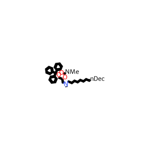 CCCCCCCCCCCCCCCCCCN(C)CC(COC(c1ccccc1)(c1ccccc1)c1ccccc1)OC(=O)NC